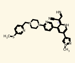 CSc1ccc(CN2CCN(c3ccc(C4=CC(c5cnn(C)c5)=CN/C4=C(/C#N)C=N)cn3)CC2)nc1